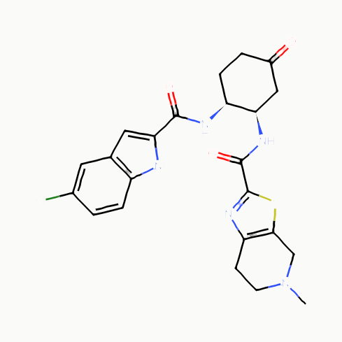 CN1CCc2nc(C(=O)N[C@@H]3CC(=O)CC[C@@H]3NC(=O)c3cc4cc(Cl)ccc4[nH]3)sc2C1